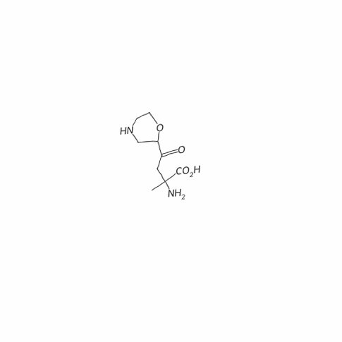 CC(N)(CC(=O)C1CNCCO1)C(=O)O